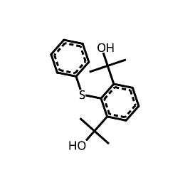 CC(C)(O)c1cccc(C(C)(C)O)c1Sc1ccccc1